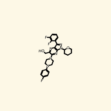 OCc1nc2c(-c3cccc(F)c3F)nn(C3CCCCO3)c2nc1N1CCN(c2ccc(F)cc2)CC1